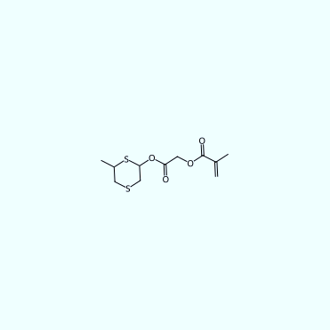 C=C(C)C(=O)OCC(=O)OC1CSCC(C)S1